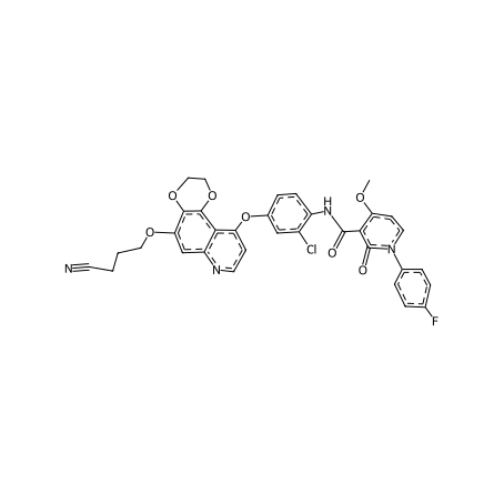 COc1ccn(-c2ccc(F)cc2)c(=O)c1C(=O)Nc1ccc(Oc2ccnc3cc(OCCCC#N)c4c(c23)OCCO4)cc1Cl